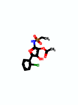 CCS(=O)(=O)Nc1oc(-c2ccccc2Cl)c(O)c1OC(C)=O